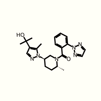 Cc1c(C(C)(C)O)cnn1[C@@H]1CC[C@@H](C)N(C(=O)c2ccccc2-n2nccn2)C1